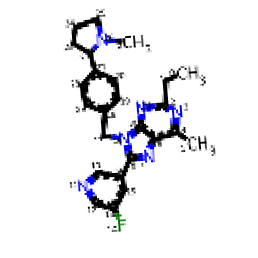 CCc1nc(C)c2nc(-c3cncc(F)c3)n(Cc3ccc(C4CCCN4C)cc3)c2n1